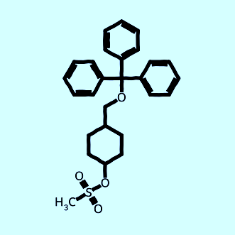 CS(=O)(=O)OC1CCC(COC(c2ccccc2)(c2ccccc2)c2ccccc2)CC1